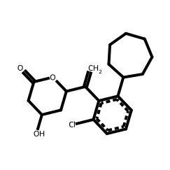 C=C(c1c(Cl)cccc1C1CCCCCC1)C1CC(O)CC(=O)O1